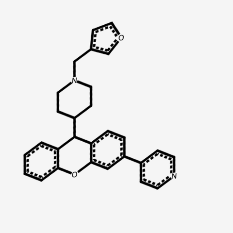 c1ccc2c(c1)Oc1cc(-c3ccncc3)ccc1C2C1CCN(Cc2ccoc2)CC1